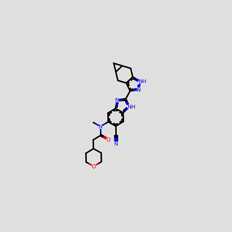 CN(C(=O)CC1CCOCC1)c1cc2nc(-c3n[nH]c4c3CC3CC3C4)[nH]c2cc1C#N